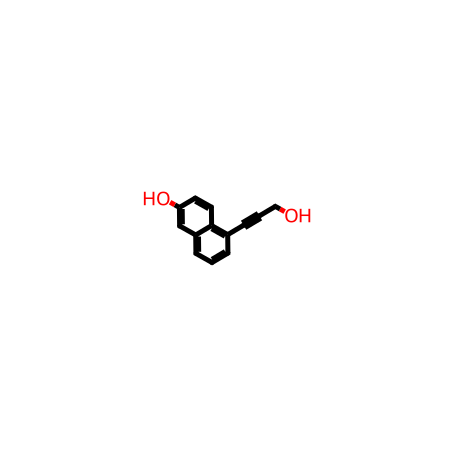 OCC#Cc1cccc2cc(O)ccc12